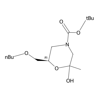 CCCCOC[C@H]1CN(C(=O)OC(C)(C)C)CC(C)(O)O1